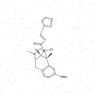 CCN(C(=O)/C=C/c1ccoc1)[C@H]1C2Cc3ccc(OC)cc3[C@@]1(C)CCN2C